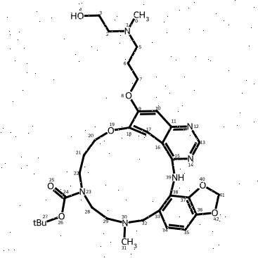 CN(CCO)CCCOc1cc2ncnc3c2cc1OCCCN(C(=O)OC(C)(C)C)CCN(C)Cc1ccc2c(c1N3)OCO2